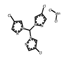 Clc1cnn(C(n2cc(Cl)cn2)n2cc(Cl)cn2)c1.[Cl][Mn][Cl]